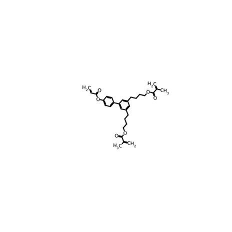 C=CC(=O)Oc1ccc(-c2cc(CCCCOC(=O)C(=C)C)cc(CCCCOC(=O)C(=C)C)c2)cc1